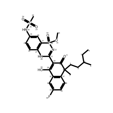 CCC(C)CCC1(C)C(=O)C(C2=NP(=O)(OC)c3cc(NS(C)(=O)=O)ccc3N2)=C(O)c2cc(F)ccc21